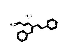 C=CC=CC(C=Cc1ccccc1)=Cc1ccccc1.O